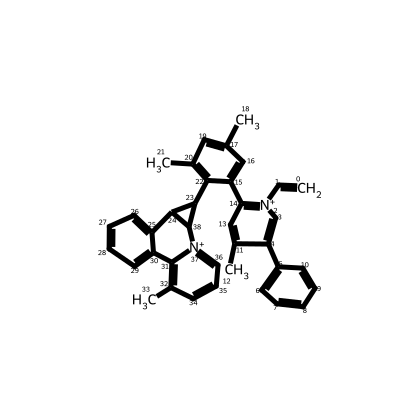 C=C[n+]1cc(-c2ccccc2)c(C)cc1-c1cc(C)cc(C)c1C1C2c3ccccc3-c3c(C)ccc[n+]3C21